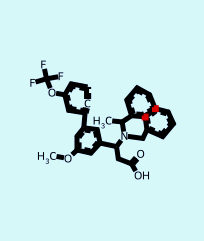 COc1cc(-c2cccc(OC(F)(F)F)c2)cc(C(CC(=O)O)N(Cc2ccccc2)C(C)c2ccccc2)c1